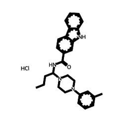 CCCC(NC(=O)c1ccc2c(c1)[nH]c1ccccc12)N1CCN(c2cccc(C)c2)CC1.Cl